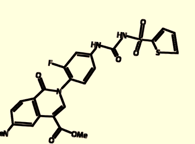 CNc1ccc2c(=O)n(-c3ccc(NC(=O)NS(=O)(=O)c4cccs4)cc3F)cc(C(=O)OC)c2c1